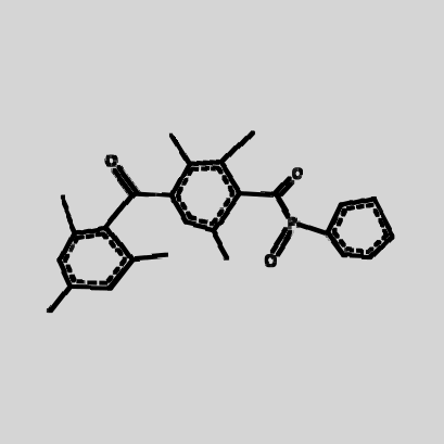 Cc1cc(C)c(C(=O)c2cc(C)c(C(=O)[P](=O)c3ccccc3)c(C)c2C)c(C)c1